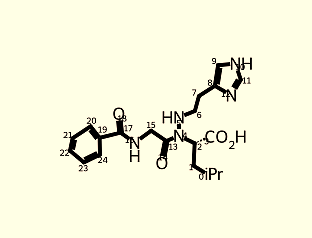 CC(C)C[C@@H](C(=O)O)N(NCCc1c[nH]cn1)C(=O)CNC(=O)c1ccccc1